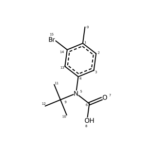 Cc1ccc(N(C(=O)O)C(C)(C)C)cc1Br